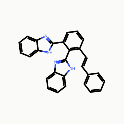 C(=Cc1cccc(-c2nc3ccccc3[nH]2)c1-c1nc2ccccc2[nH]1)c1ccccc1